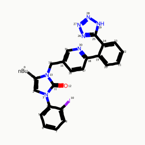 CCCCc1cn(-c2ccccc2I)c(=O)n1Cc1ccc(-c2ccccc2-c2nnn[nH]2)nc1